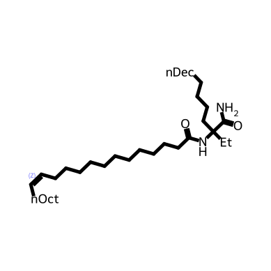 CCCCCCCC/C=C\CCCCCCCCCCCC(=O)NC(CC)(CCCCCCCCCCCCCC)C(N)=O